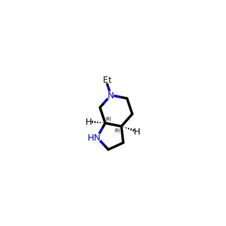 CCN1CC[C@H]2CCN[C@H]2C1